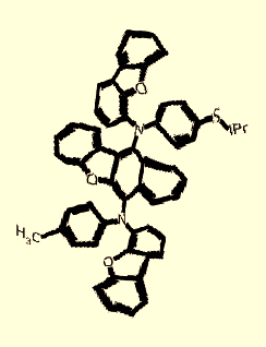 Cc1ccc(N(c2cccc3c2oc2ccccc23)c2c3ccccc3c(N(c3ccc(SC(C)C)cc3)c3cccc4c3oc3ccccc34)c3c2oc2ccccc23)cc1